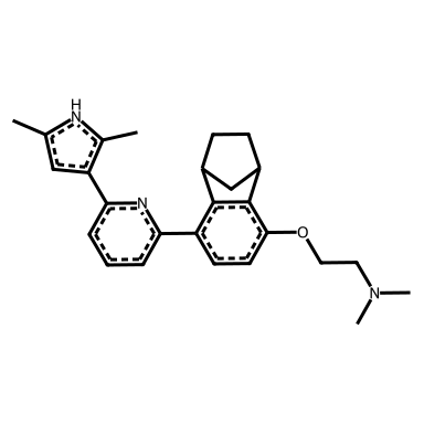 Cc1cc(-c2cccc(-c3ccc(OCCN(C)C)c4c3C3CCC4C3)n2)c(C)[nH]1